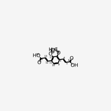 COc1c(C=CC(=O)O)ccc(C=CC(=O)O)c1OC